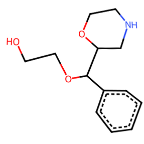 OCCOC(c1ccccc1)C1CNCCO1